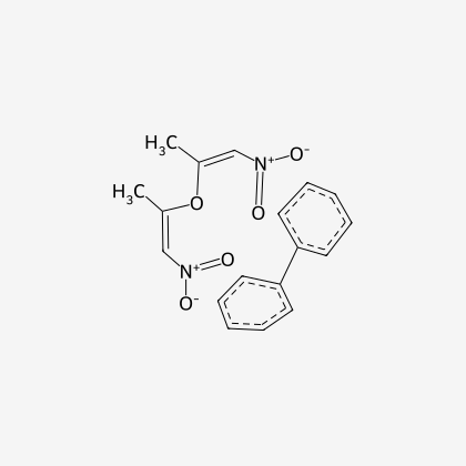 C/C(=C/[N+](=O)[O-])O/C(C)=C\[N+](=O)[O-].c1ccc(-c2ccccc2)cc1